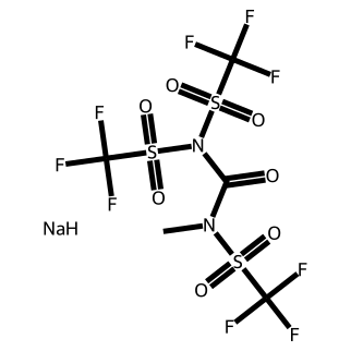 CN(C(=O)N(S(=O)(=O)C(F)(F)F)S(=O)(=O)C(F)(F)F)S(=O)(=O)C(F)(F)F.[NaH]